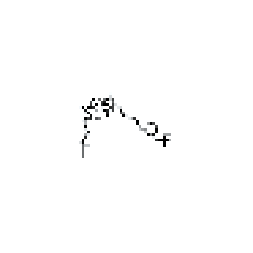 C[Si](C)(CCCF)O[Si](C)(C)CCCCOCF